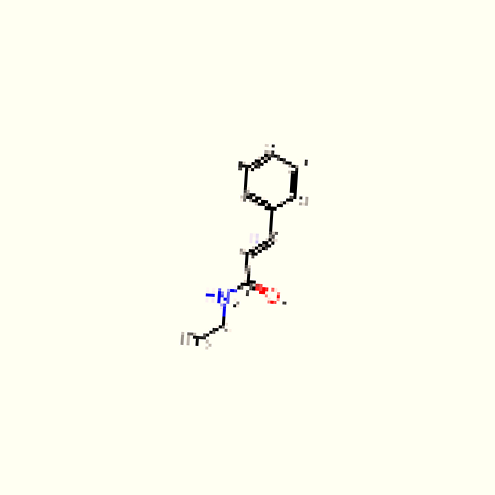 CC(C)CNC(=O)/C=C/c1ccccc1